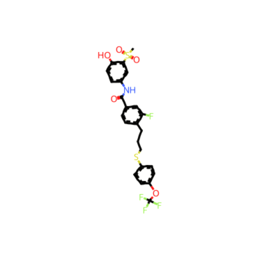 CS(=O)(=O)c1cc(NC(=O)c2ccc(CCCSc3ccc(OC(F)(F)F)cc3)c(F)c2)ccc1O